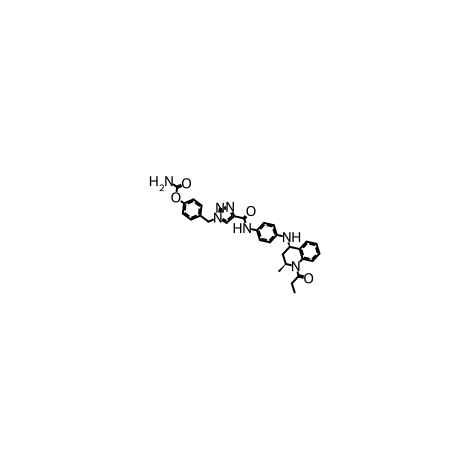 CCC(=O)N1c2ccccc2[C@H](Nc2ccc(NC(=O)c3cn(Cc4ccc(OC(N)=O)cc4)nn3)cc2)C[C@@H]1C